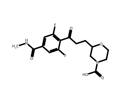 CNC(=O)c1cc(F)c(C(=O)CCC2CN(C(=O)O)CCO2)c(F)c1